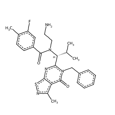 Cc1ccc(C(=O)N(CCN)[C@@H](c2nc3snc(C)c3c(=O)n2Cc2ccccc2)C(C)C)cc1F